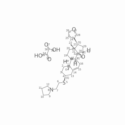 C[C@]12CC[C@H](SCCN3CCCC3)CC1=CC[C@@H]1[C@@H]2CC[C@]2(C)[C@@H](c3ccoc3)C[C@H]3O[C@]132.O=C(O)C(=O)O